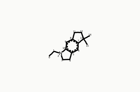 CCN1CCc2cc3c(cc21)CCC3(C)C